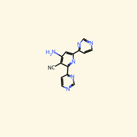 N#Cc1c(N)cc(-c2ccncn2)nc1-c1ccncn1